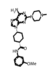 COc1cccc(NC(=O)[C@H]2CC[C@@H](n3cnc4c(N)nc(N5CCN(C)CC5)nc43)CC2)c1